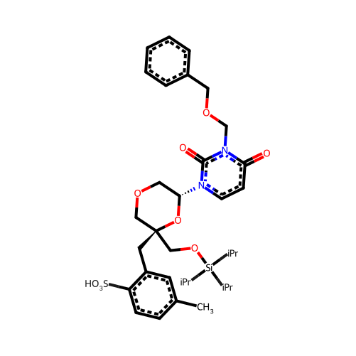 Cc1ccc(S(=O)(=O)O)c(C[C@@]2(CO[Si](C(C)C)(C(C)C)C(C)C)COC[C@H](n3ccc(=O)n(COCc4ccccc4)c3=O)O2)c1